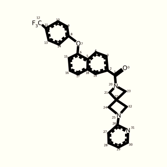 O=C(c1ccc2c(Oc3ccc(C(F)(F)F)cc3)cccc2c1)N1CC2(C1)CN(c1ccccn1)C2